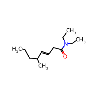 CCCC(C)C=CCC(=O)N(CC)CC